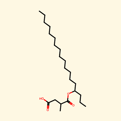 CCCCCCCCCCCCCCC(CCC)OC(=O)C(C)CC(=O)O